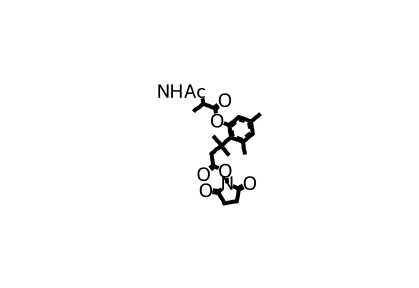 CC(=O)NC(C)C(=O)Oc1cc(C)cc(C)c1C(C)(C)CC(=O)ON1C(=O)CCC1=O